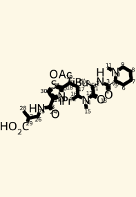 CC[C@H](C)[C@H](NC(=O)[C@H]1CCCCN1C)C(=O)N(C)C(C[C@@H](OC(C)=O)c1nc(C(=O)NCC(C)C(=O)O)cs1)C(C)C